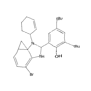 CC(C)(C)c1cc(C2NC3=C(Br)C=CC4CC34N2C2C=CCCC2)c(O)c(C(C)(C)C)c1